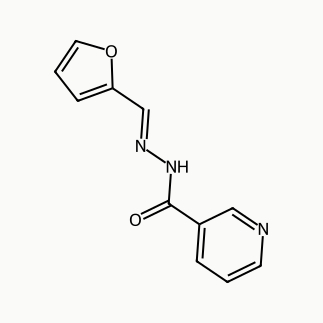 O=C(N/N=C/c1ccco1)c1cccnc1